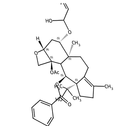 C=CC(O)O[C@H]1C[C@H]2OC[C@@]2(OC(C)=O)C2[C@H](OC(=O)c3ccccc3)[C@]3(C(C)(C)O)CCC(C)=C3CC[C@@]21C